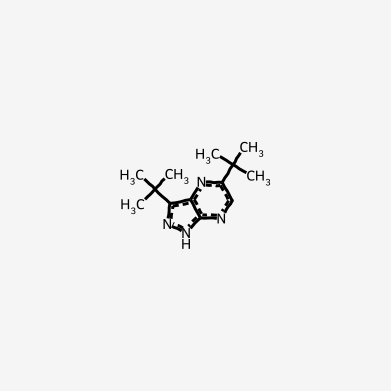 CC(C)(C)c1cnc2[nH]nc(C(C)(C)C)c2n1